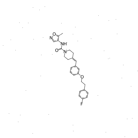 Cc1oncc1NC(=O)N1CCC(=Cc2cccc(OCCc3ccc(F)cc3)c2)CC1